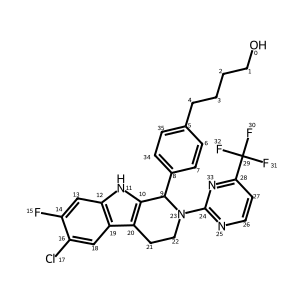 OCCCCc1ccc(C2c3[nH]c4cc(F)c(Cl)cc4c3CCN2c2nccc(C(F)(F)F)n2)cc1